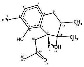 CCCc1ccc2c(c1O)[C@@](CCC)(CC(=O)CC)C(C)(O)C(C)C2